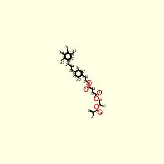 C=C(C)C(=O)OC(C)COC(=O)CCC(=O)OCCc1ccc(CCCc2cc(C)c(C)c(C)c2C)cc1